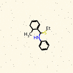 CCSC(Nc1ccccc1)C1=CC=CCC1C